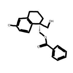 O=C(OC[C@@]1(CO)CCCc2cc(Cl)ccc21)c1ccccc1